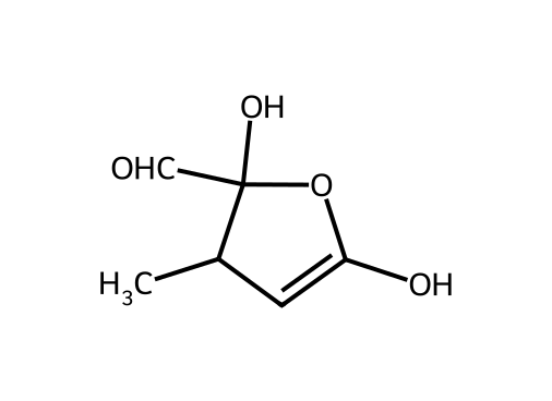 CC1C=C(O)OC1(O)C=O